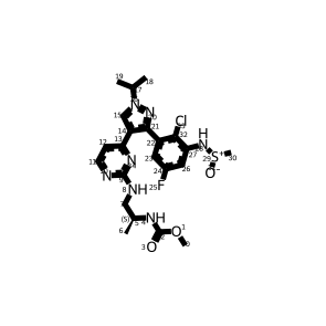 COC(=O)N[C@@H](C)CNc1nccc(-c2cn(C(C)C)nc2-c2cc(F)cc(N[S+](C)[O-])c2Cl)n1